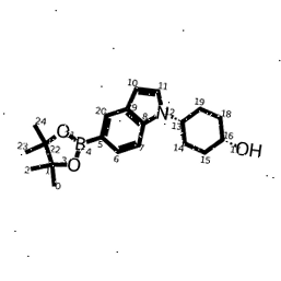 CC1(C)OB(c2ccc3c(ccn3[C@H]3CC[C@@H](O)CC3)c2)OC1(C)C